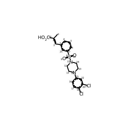 CC(=Cc1cccc(S(=O)(=O)N2CCN(c3ccc(Cl)c(Cl)c3)CC2)c1)C(=O)O